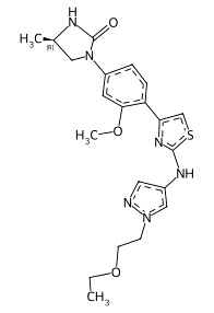 CCOCCn1cc(Nc2nc(-c3ccc(N4C[C@@H](C)NC4=O)cc3OC)cs2)cn1